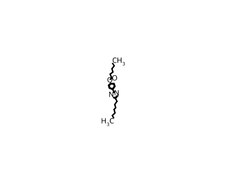 CCCCCCCCc1cnc(-c2ccc(OC(=O)CCCCCC)cc2)nc1